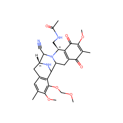 COCOc1c(OC)c(C)cc2c1C1N[C@H](C2)C(C#N)N2C1CC1=C(C(=O)C(OC)=C(C)C1=O)[C@@H]2CNC(C)=O